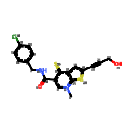 Cn1cc(C(=O)NCc2ccc(Cl)cc2)c(=S)c2cc(C#CCO)sc21